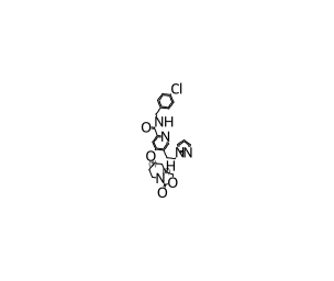 O=C(NCc1ccc(Cl)cc1)c1cc(O[C@H]2CCN3C(=O)OC[C@@H]3C2)c(CCn2cccn2)cn1